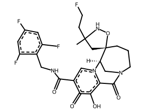 CC1(CCF)C[C@]2(CCCN3C[C@H]2n2cc(C(=O)NCc4c(F)cc(F)cc4F)c(=O)c(O)c2C3=O)ON1